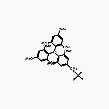 COc1cc(OC)c([C+](c2c(OC)cc(OC)cc2OC)c2c(OC)cc(OC)cc2OC)c(OC)c1.F[B-](F)(F)F